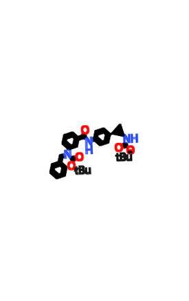 CC(C)(C)OC(=O)N[C@@H]1C[C@H]1c1ccc(NC(=O)c2cccc(N(Cc3ccccc3)C(=O)OC(C)(C)C)c2)cc1